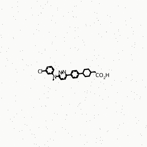 CN(c1cccc(Cl)c1)c1ccc(-c2ccc(C3CCC(CC(=O)O)CC3)cc2)nn1